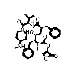 CNC1CCN(C(=O)[C@@H](NC(=O)[C@@H](Cc2ccccc2)C[C@@H](O)[C@H](Cc2ccccc2)NC(=O)OC2=COC2=O)C(C)C)CC1